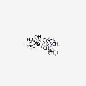 C/C(C=O)=C/C(=C\N(C)C)C(=N/c1cc(CNC(C(=O)OCC(C)C)C(C)O)ccc1C)/C(C)C